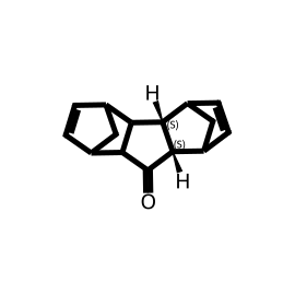 O=C1C2C3C=CC(C3)C2[C@@H]2C3C=CC(C3)[C@H]12